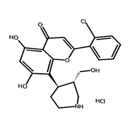 Cl.O=c1cc(-c2ccccc2Cl)oc2c([C@@H]3CCNC[C@H]3CO)c(O)cc(O)c12